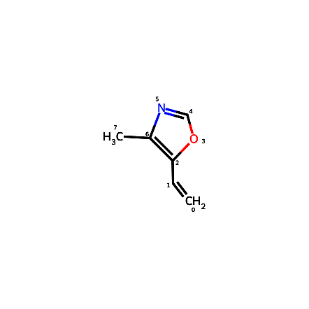 C=Cc1ocnc1C